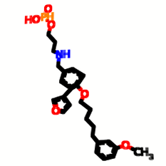 COc1cccc(CCCCCOc2ccc(CNCCCO[PH](=O)O)cc2-c2ccoc2)c1